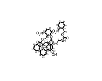 O=C(NCCC1C(=O)N(CP(C(=O)OCc2ccccc2[N+](=O)[O-])(c2ccccc2)(c2ccccc2)c2ccccc2)C1CCO)OCc1ccccc1[N+](=O)[O-]